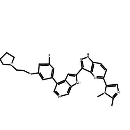 Cc1ncc(-c2ccc3[nH]nc(-c4cc5c(-c6cc(F)cc(OCCN7CCCC7)c6)cncc5[nH]4)c3n2)n1C